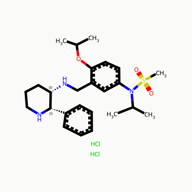 CC(C)Oc1ccc(N(C(C)C)S(C)(=O)=O)cc1CN[C@H]1CCCN[C@H]1c1ccccc1.Cl.Cl